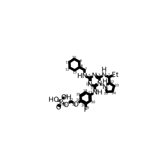 CCC(Nc1nc(NCC2CCCCC2)nc(Nc2ccc(OCOP(=O)(O)O)c(F)c2)n1)C1CCCN1